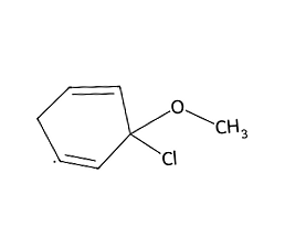 COC1(Cl)C=[C]CC=C1